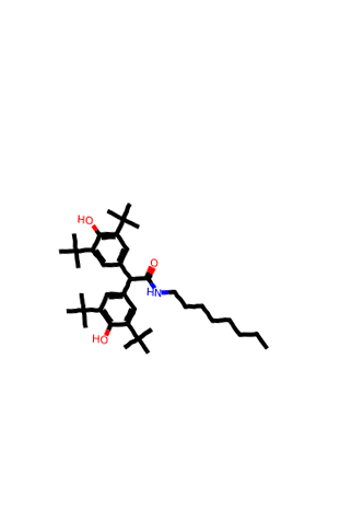 CCCCCCCCNC(=O)C(c1cc(C(C)(C)C)c(O)c(C(C)(C)C)c1)c1cc(C(C)(C)C)c(O)c(C(C)(C)C)c1